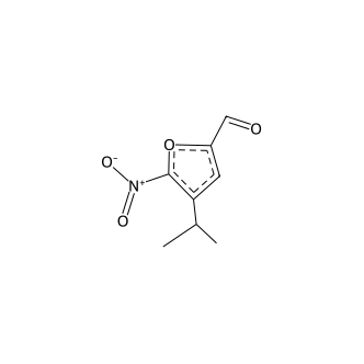 CC(C)c1cc(C=O)oc1[N+](=O)[O-]